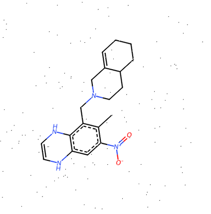 Cc1c([N+](=O)[O-])cc2c(c1CN1CCC3CCCC=C3C1)NC=CN2